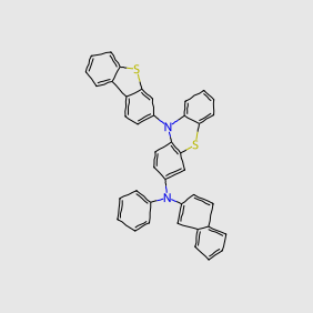 c1ccc(N(c2ccc3c(c2)Sc2ccccc2N3c2ccc3c(c2)sc2ccccc23)c2ccc3ccccc3c2)cc1